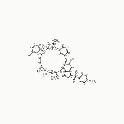 Cc1ccc(S(=O)(=O)n2ccc3c4c(c(F)cc32)Oc2ccnc(c2)-c2nc(nn2C)[C@@](C)(c2cccc(I)c2)CCCCC(C)(C)CN(C)C(=O)C4)cc1